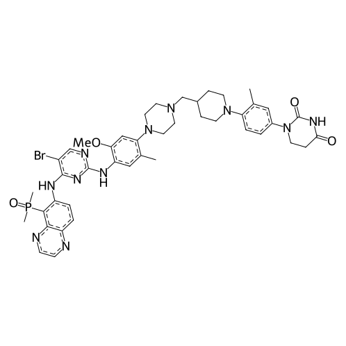 COc1cc(N2CCN(CC3CCN(c4ccc(N5CCC(=O)NC5=O)cc4C)CC3)CC2)c(C)cc1Nc1ncc(Br)c(Nc2ccc3nccnc3c2P(C)(C)=O)n1